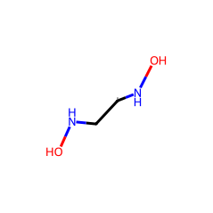 ON[CH]CNO